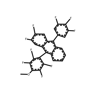 COc1c(F)c(F)c(-c2c3ccccc3c(-c3cc(F)c(F)c(F)c3)c3cc(F)c(F)cc23)c(F)c1F